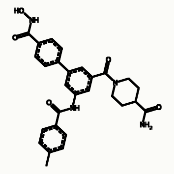 Cc1ccc(C(=O)Nc2cc(C(=O)N3CCC(C(N)=O)CC3)cc(-c3ccc(C(=O)NO)cc3)c2)cc1